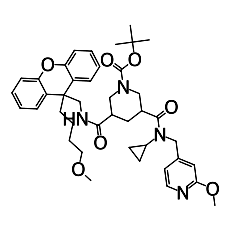 COCCCCC1(CNC(=O)C2CC(C(=O)N(Cc3ccnc(OC)c3)C3CC3)CN(C(=O)OC(C)(C)C)C2)c2ccccc2Oc2ccccc21